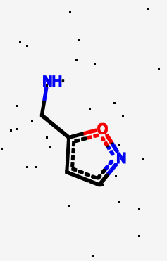 [NH]Cc1ccno1